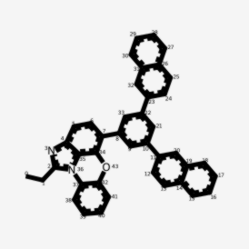 CCc1nc2ccc(-c3cc(-c4ccc5ccccc5c4)cc(-c4ccc5ccccc5c4)c3)c3c2n1-c1ccccc1O3